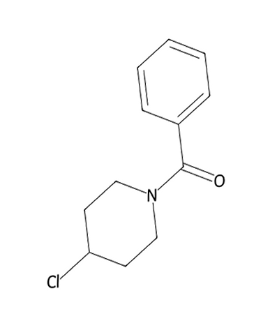 O=C(c1ccccc1)N1CCC(Cl)CC1